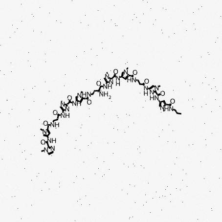 CCCNC(=O)c1cc(NC(=O)c2nc(NC(=O)CCNC(=O)c3cc(NC(=O)c4nc(NC(=O)[C@H](N)CCNC(=O)c5cc(NC(=O)c6nc(NC(=O)CCNC(=O)c7cc(NC(=O)c8nccn8C)cn7C)cn6C)cn5C)cn4C)cn3C)cn2C)cn1C